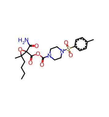 CCCCC1(C)OC1(C(N)=O)C(=O)OC(=O)N1CCN(S(=O)(=O)c2ccc(C)cc2)CC1